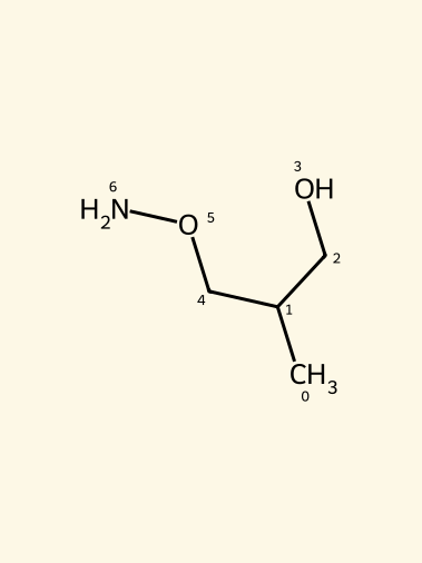 CC(CO)CON